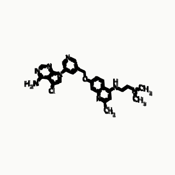 Cc1cc(NCCN(C)C)c2ccc(OCc3cncc(-n4cc(Cl)c5c(N)ncnc54)c3)cc2n1